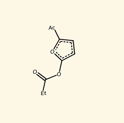 CCC(=O)Oc1ccc(C(C)=O)o1